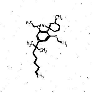 CCCCCCC(C)(C)c1cc(OCC)c(C2(O)CCCC(C)C2)c(OCC)c1